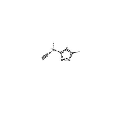 C#C[C@H](C)c1nnc(C)o1